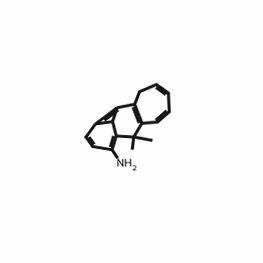 CC1(C)C2=C(CC=CC=C2)C2=C3C=CC(N)=C1C32